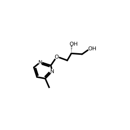 Cc1ccnc(OC[C@H](O)CO)n1